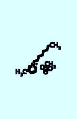 CCCCCCCC[n+]1cccc(C)c1.CS(=O)(=O)[O-]